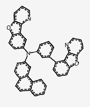 c1cc(-c2cccc3oc4cccnc4c23)cc(N(c2ccc3ccc4ccccc4c3c2)c2ccc3oc4cccnc4c3c2)c1